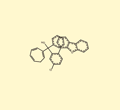 OC(C1=CCC=CC=C1)(c1ccccc1)c1cc(Cl)ccc1-c1cccc2c1oc1ccccc12